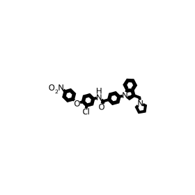 O=C(Nc1ccc(Oc2ccc([N+](=O)[O-])cc2)c(Cl)c1)c1ccc(-n2cc(CN3CCCC3)c3ccccc32)cc1